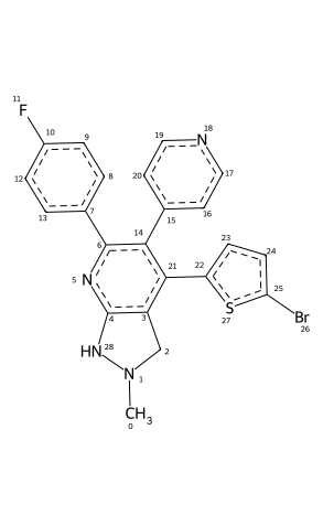 CN1Cc2c(nc(-c3ccc(F)cc3)c(-c3ccncc3)c2-c2ccc(Br)s2)N1